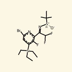 CC[Si](CC)(CC)c1cc(Br)nc(C(=N[S@@+]([O-])C(C)(C)C)C(F)F)c1F